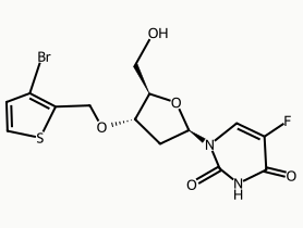 O=c1[nH]c(=O)n([C@H]2C[C@H](OCc3sccc3Br)[C@@H](CO)O2)cc1F